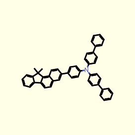 CC1(C)c2ccccc2-c2ccc3cc(-c4ccc(N(c5ccc(-c6ccccc6)cc5)c5ccc(-c6ccccc6)cc5)cc4)ccc3c21